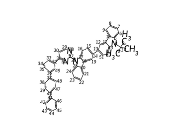 CC(C)(C)n1c2ccccc2c2cc(-c3ccc4c(c3)c3ccccc3n4-c3nccc(-c4cccc(-c5ccc(-c6ccccc6)cc5)c4)n3)ccc21